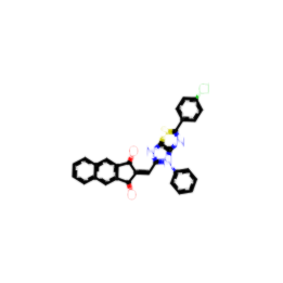 O=C1C(=Cc2nc3sc(-c4ccc(Cl)cc4)nc3n2-c2ccccc2)C(=O)c2cc3ccccc3cc21